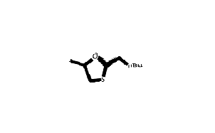 CCCCCC1OC(C)CS1